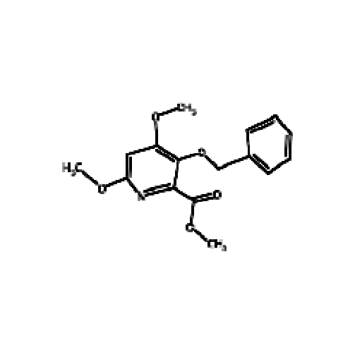 COC(=O)c1nc(OC)cc(OC)c1OCc1ccccc1